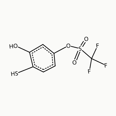 O=S(=O)(Oc1ccc(S)c(O)c1)C(F)(F)F